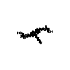 C=C(CO)C(=O)OCCCc1ccc(-c2ccc(CCCOC(=O)C(=C)CO)cc2CCCCCCF)cc1